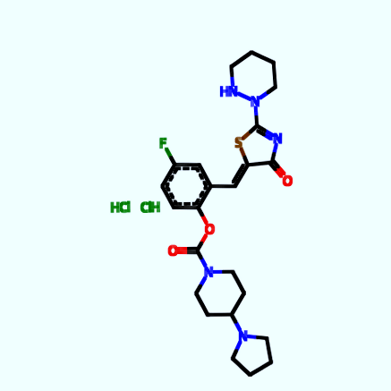 Cl.Cl.O=C1N=C(N2CCCCN2)SC1=Cc1cc(F)ccc1OC(=O)N1CCC(N2CCCC2)CC1